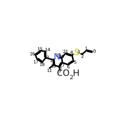 C=CCSc1ccc2c(C(=O)O)c(C)c(-c3ccccc3)nc2c1